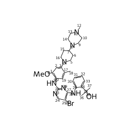 COc1cc(N2CCC(N3CCN(C)CC3)CC2)c(C)cc1Nc1ncc(Br)c(Nc2ccccc2C(C)(C)O)n1